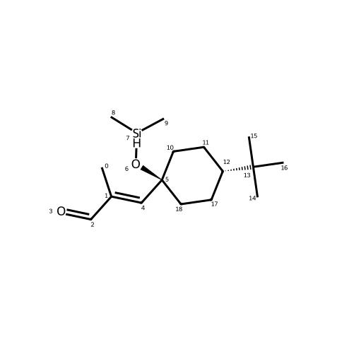 C/C(C=O)=C\[C@]1(O[SiH](C)C)CC[C@H](C(C)(C)C)CC1